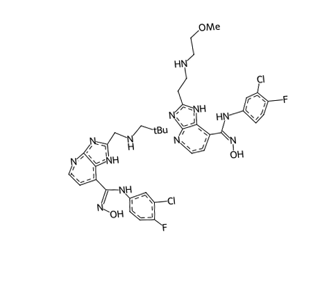 CC(C)(C)CNCc1nc2nccc(/C(=N/O)Nc3ccc(F)c(Cl)c3)c2[nH]1.COCCNCCc1nc2nccc(/C(=N\O)Nc3ccc(F)c(Cl)c3)c2[nH]1